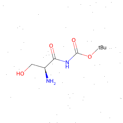 CC(C)(C)OC(=O)NC(=O)[C@@H](N)CO